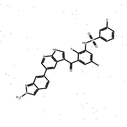 Cn1cc2ccc(-c3cnc4[nH]cc(C(=O)c5cc(F)cc(NS(=O)(=O)c6cccc(F)c6)c5F)c4c3)cc2n1